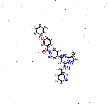 O=C(c1cccc(OC2C=CC=CC2)c1)N1CCC(C2=Nc3c(Br)cnn3C(NCc3cccnc3)C2)CC1